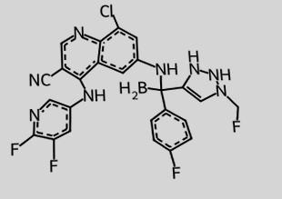 BC(Nc1cc(Cl)c2ncc(C#N)c(Nc3cnc(F)c(F)c3)c2c1)(C1=CN(CF)NN1)c1ccc(F)cc1